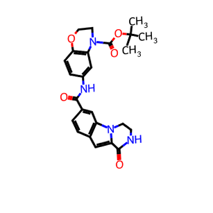 CC(C)(C)OC(=O)N1CCOc2ccc(NC(=O)c3ccc4cc5n(c4c3)CCNC5=O)cc21